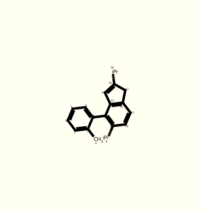 Cc1ccccc1-c1c(C(C)C)ccc2c1C=C(C(C)C)[CH]2